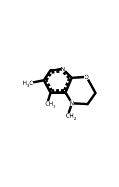 Cc1cnc2c(c1C)N(C)CCO2